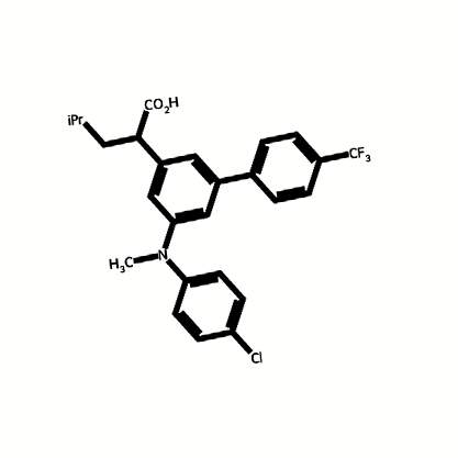 CC(C)CC(C(=O)O)c1cc(-c2ccc(C(F)(F)F)cc2)cc(N(C)c2ccc(Cl)cc2)c1